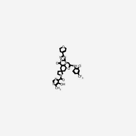 Cc1ncnc(C(=O)N2CCC3(CCc4c(c(=O)n5nc(C6=CCOCC6)nc5n4CC(=O)Nc4ccc(C(F)(F)F)cc4Cl)C3)C2)c1O